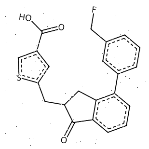 O=C(O)c1csc(CC2Cc3c(cccc3-c3cccc(CF)c3)C2=O)c1